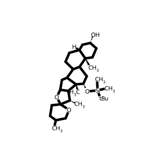 CC1CCC2(OC1)OC1CC3C4CC[C@@H]5C[C@H](O)CC[C@]5(C)C4C[C@H](O[Si](C)(C)C(C)(C)C)[C@]3(C)C1[C@@H]2C